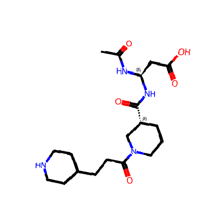 CC(=O)N[C@@H](CC(=O)O)NC(=O)[C@@H]1CCCN(C(=O)CCC2CCNCC2)C1